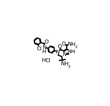 CC(C)(N)CCN(C(=O)c1nc[nH]c1C(N)=O)c1ccc(NC(=O)c2ccccc2Cl)cc1.Cl